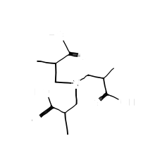 CC(CN(CC(C)C(=O)O)CC(C)C(=O)O)C(=O)O